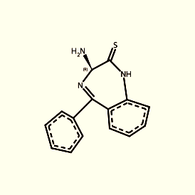 N[C@@H]1N=C(c2ccccc2)c2ccccc2NC1=S